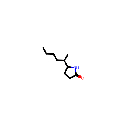 CCCCC(C)C1CCC(=O)N1